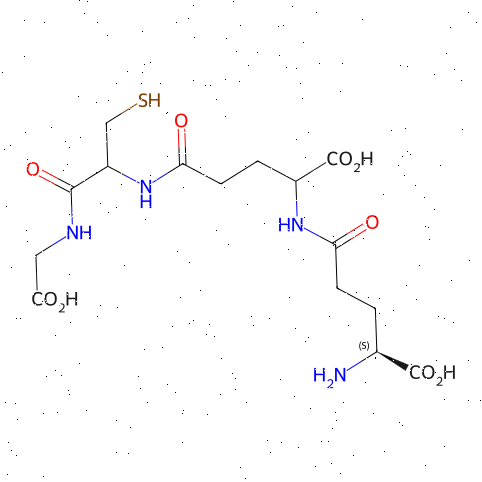 N[C@@H](CCC(=O)NC(CCC(=O)NC(CS)C(=O)NCC(=O)O)C(=O)O)C(=O)O